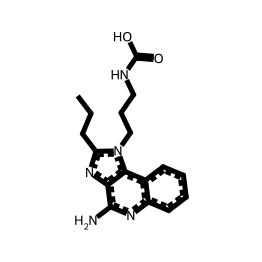 CCCc1nc2c(N)nc3ccccc3c2n1CCCNC(=O)O